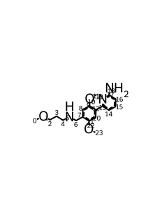 COCCCNCc1cc(OC)c(-c2cccc(N)n2)cc1OC